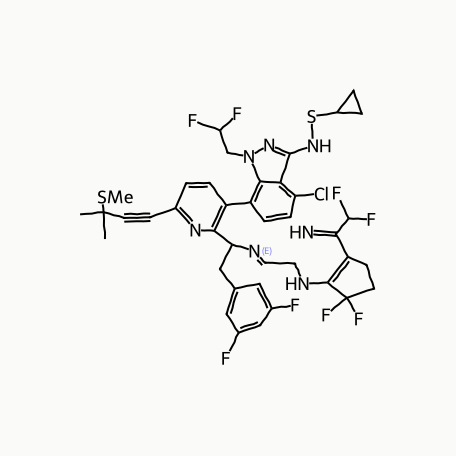 CSC(C)(C)C#Cc1ccc(-c2ccc(Cl)c3c(NSC4CC4)nn(CC(F)F)c23)c(C(Cc2cc(F)cc(F)c2)/N=C/CNC2=C(C(=N)C(F)F)CCC2(F)F)n1